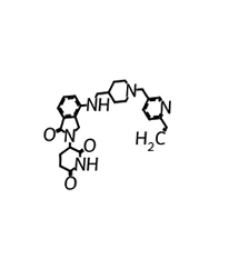 C=Cc1ccc(CN2CCC(CNc3cccc4c3CN(C3CCC(=O)NC3=O)C4=O)CC2)cn1